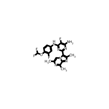 Cc1cn2c(-c3nc(N)c(F)c(Nc4ccc(OC(F)F)c(F)c4)n3)c(C)nc2c(C)n1